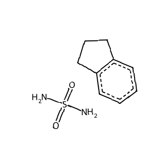 NS(N)(=O)=O.c1ccc2c(c1)CCC2